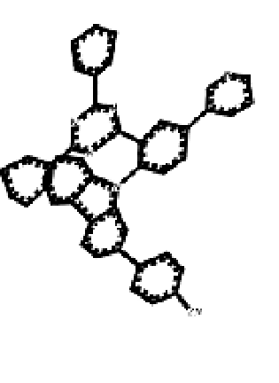 N#Cc1ccc(-c2ccc3c4ccccc4n(-c4ccc(-c5cccnc5)cc4-c4nc(-c5ccccc5)nc(-c5ccccc5)n4)c3c2)cc1